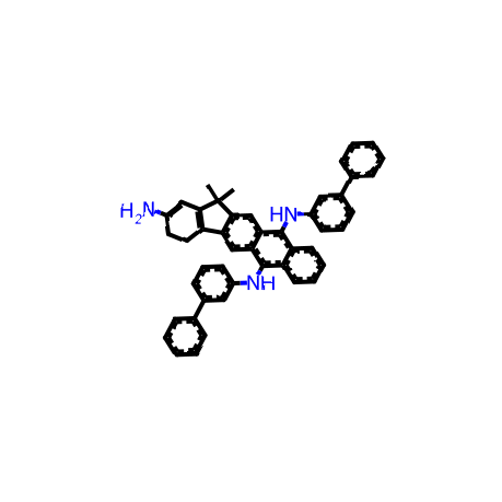 CC1(C)C2=C(CCC(N)=C2)c2cc3c(Nc4cccc(-c5ccccc5)c4)c4ccccc4c(Nc4cccc(-c5ccccc5)c4)c3cc21